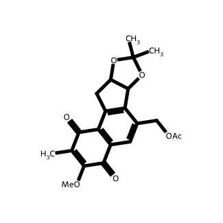 COC1=C(C)C(=O)c2c(cc(COC(C)=O)c3c2CC2OC(C)(C)OC32)C1=O